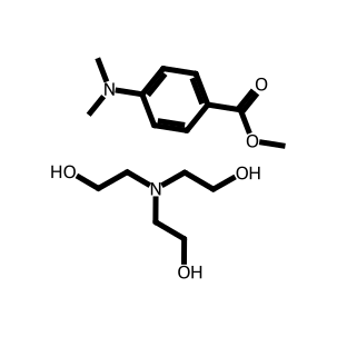 COC(=O)c1ccc(N(C)C)cc1.OCCN(CCO)CCO